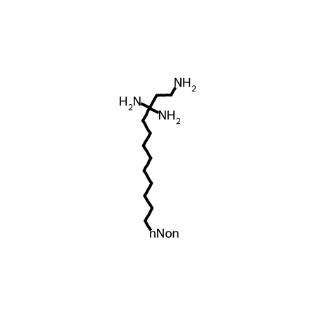 CCCCCCCCCCCCCCCCCCC(N)(N)CCN